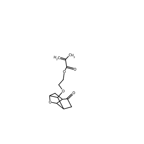 C=C(C)C(=O)OCCOC1C2CC3C(=O)CC1C3O2